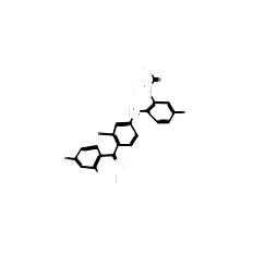 Cc1cc(Cl)ccc1C(=O)c1ccc(Nc2ccc(Br)cc2NC(=O)C(F)(F)F)cc1Cl